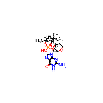 CC(C)(C)C[C@]12CCOC(C1OP(=O)(O)OC(C)(C)C)[C@H](n1cnc3c(=O)[nH]c(N)nc31)O2